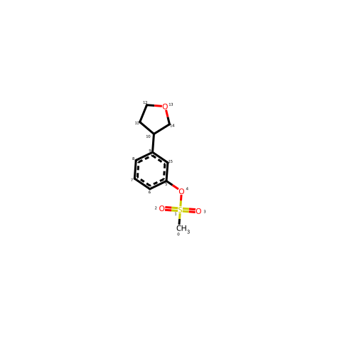 CS(=O)(=O)Oc1cccc(C2CCOC2)c1